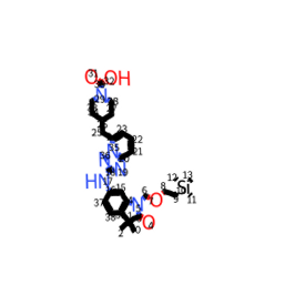 CC1(C)C(=O)N(COCC[Si](C)(C)C)c2cc(Nc3nc4cccc(CC5CCN(C(=O)O)CC5)n4n3)ccc21